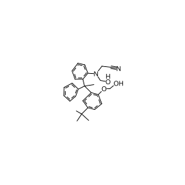 CC(C)(C)c1ccc(OCO)c(C(C)(c2ccccc2)c2ccccc2N(CO)CC#N)c1